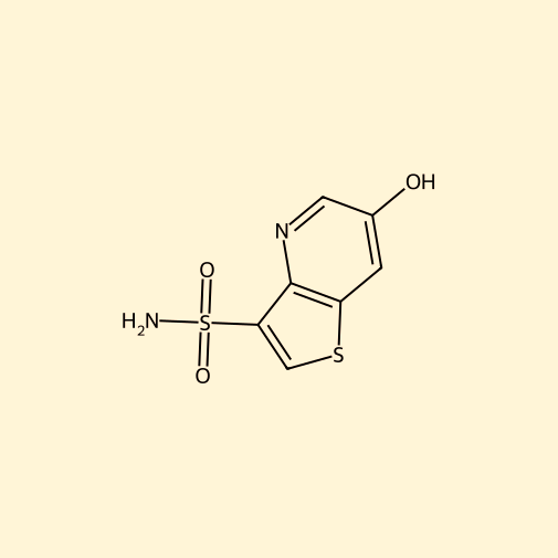 NS(=O)(=O)c1csc2cc(O)cnc12